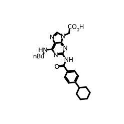 CCCCNc1nc(NC(=O)c2ccc(C3CCCCC3)cc2)nc2c1ncn2CC(=O)O